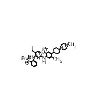 Cc1cc(Nc2ncc(CI)c(Nc3ccccc3S(=O)(=O)C(C)C)n2)c(OC(C)C)cc1C1CCC(N2CCN(C)CC2)CC1